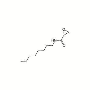 CCCCCCCCNC(=O)C1CO1